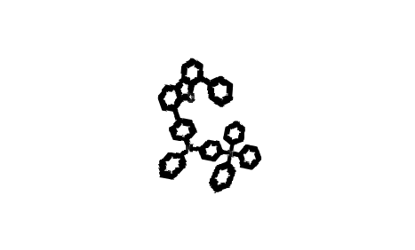 c1ccc(-c2cccc3c2oc2c(-c4ccc(N(c5ccccc5)c5ccc([Si](c6ccccc6)(c6ccccc6)c6ccccc6)cc5)cc4)cccc23)cc1